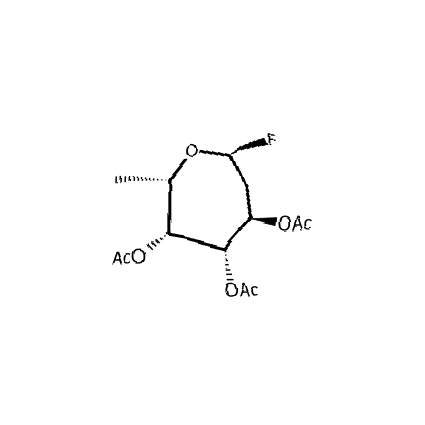 CC(=O)O[C@@H]1[C@H](OC(C)=O)[C@H](C)O[C@@H](F)[C@H]1OC(C)=O